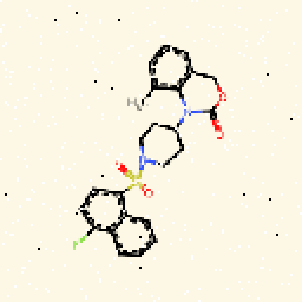 Cc1cccc2c1N(C1CCN(S(=O)(=O)c3ccc(F)c4ccccc34)CC1)C(=O)OC2